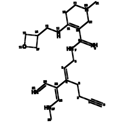 C#CCCC(=C\CNC(=N)C1=C(NCC2COC2)CCN(C)C1)/C(C=N)=C/NC